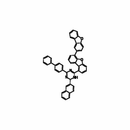 c1ccc(-c2ccc(C3=NC(c4ccc5ccccc5c4)NC(c4cccc5oc6c(-c7ccc8oc9ccccc9c8c7)cccc6c45)=N3)cc2)cc1